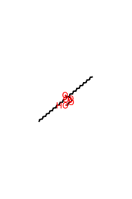 CCCCCCCCCCCCCCCCOC(=O)C(=O)CCCCCCCCCCCCCC.COCCO